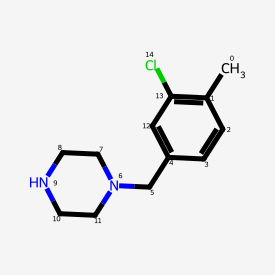 Cc1ccc(CN2CCNCC2)cc1Cl